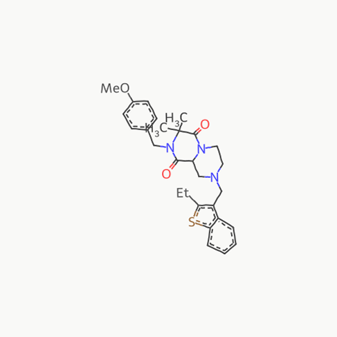 CCc1sc2ccccc2c1CN1CCN2C(=O)C(C)(C)N(Cc3ccc(OC)cc3)C(=O)C2C1